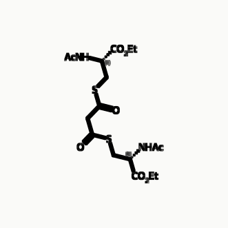 CCOC(=O)[C@H](CSC(=O)CC(=O)SC[C@H](NC(C)=O)C(=O)OCC)NC(C)=O